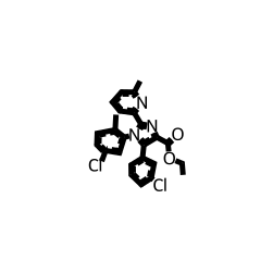 CCOC(=O)c1nc(-c2cccc(C)n2)n(-c2cc(Cl)ccc2C)c1-c1cccc(Cl)c1